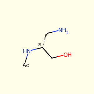 CC(=O)N[C@H](CN)CO